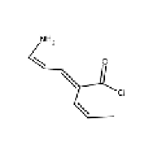 C\C=C/C(=C\C=C/N)C(=O)Cl